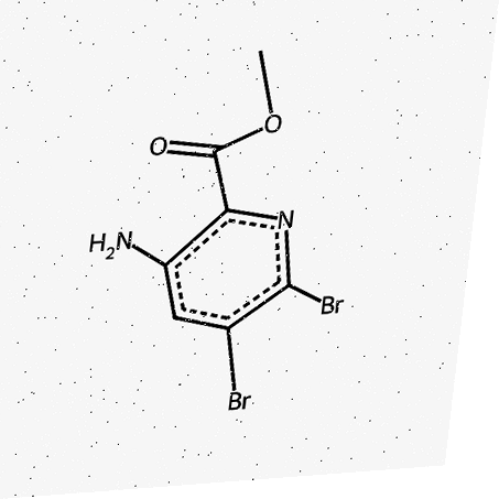 COC(=O)c1nc(Br)c(Br)cc1N